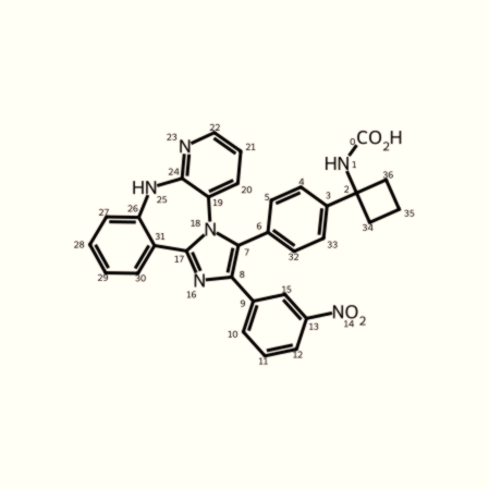 O=C(O)NC1(c2ccc(-c3c(-c4cccc([N+](=O)[O-])c4)nc4n3-c3cccnc3Nc3ccccc3-4)cc2)CCC1